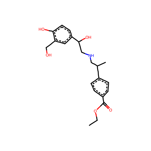 CCOC(=O)c1ccc(C(C)CNCC(O)c2ccc(O)c(CO)c2)cc1